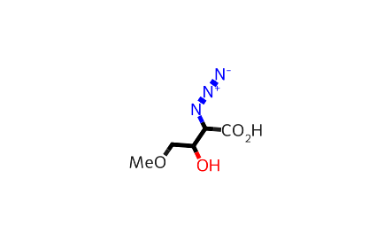 COCC(O)C(N=[N+]=[N-])C(=O)O